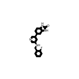 O=c1[nH]c2ccc(-c3cncc(NCc4ccccc4F)c3)cc2[nH]1